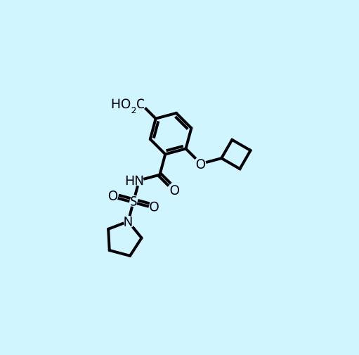 O=C(O)c1ccc(OC2CCC2)c(C(=O)NS(=O)(=O)N2CCCC2)c1